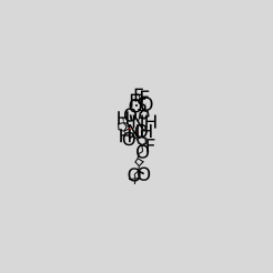 COc1cc(F)c(OCC2CC(C(=O)OC(C)(C)C)C2)cc1C(=O)N[C@@H]1[C@@H]2CC[C@@H](C2)[C@@H]1C(=O)Nc1cccc(S(=O)(=O)C(F)(F)F)c1